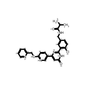 CC(C)C(=O)NCc1ccc(Cl)c(-c2nc(-c3ccc(OCc4ccccn4)nc3)cc(=O)[nH]2)c1